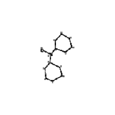 ClN(C1CCCCC1)C1CCCCC1